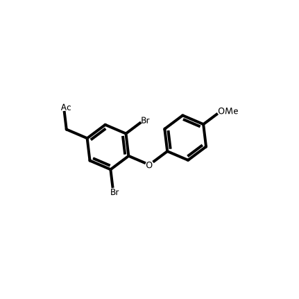 COc1ccc(Oc2c(Br)cc(CC(C)=O)cc2Br)cc1